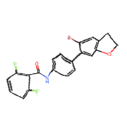 O=C(Nc1ccc(-c2cc3c(cc2Br)CCO3)cc1)c1c(F)cccc1F